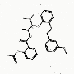 COc1cccc(CCc2ccccc2O[C@@H](C(C)OC(=O)c2ccccc2OC(C)=O)N(C)C)c1